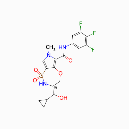 Cn1cc2c(c1C(=O)Nc1cc(F)c(F)c(F)c1)OC[C@H](C(O)C1CC1)NS2(=O)=O